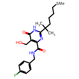 CSCCCCC(C)(C)c1nc(C(=O)NCc2ccc(F)cc2)c(CO)c(=O)[nH]1